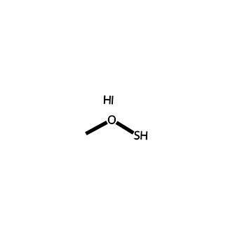 COS.I